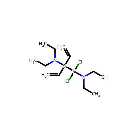 C=C[Si](C=C)(N(CC)CC)[Si](Cl)(Cl)N(CC)CC